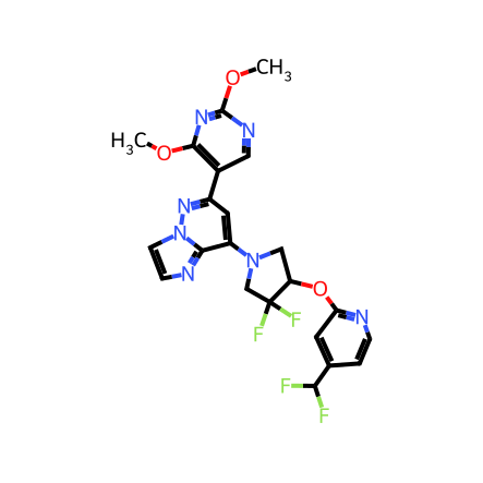 COc1ncc(-c2cc(N3CC(Oc4cc(C(F)F)ccn4)C(F)(F)C3)c3nccn3n2)c(OC)n1